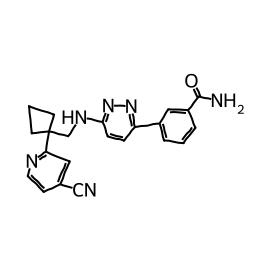 N#Cc1ccnc(C2(CNc3ccc(-c4cccc(C(N)=O)c4)nn3)CCC2)c1